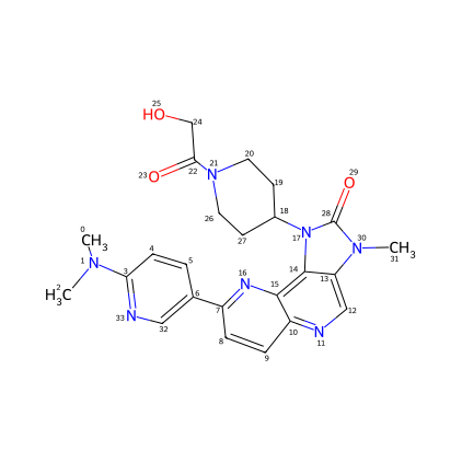 CN(C)c1ccc(-c2ccc3ncc4c(c3n2)n(C2CCN(C(=O)CO)CC2)c(=O)n4C)cn1